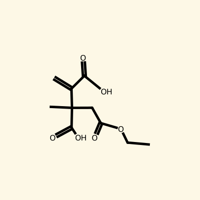 C=C(C(=O)O)C(C)(CC(=O)OCC)C(=O)O